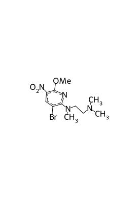 COc1nc(N(C)CCN(C)C)c(Br)cc1[N+](=O)[O-]